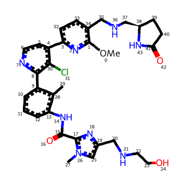 COc1nc(-c2ccnc(-c3cccc(NC(=O)c4nc(CNCCO)cn4C)c3C)c2Cl)ccc1CNC[C@H]1CCC(=O)N1